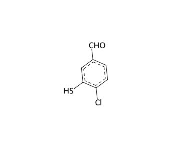 O=Cc1ccc(Cl)c(S)c1